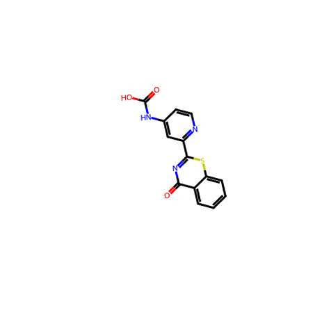 O=C(O)Nc1ccnc(-c2nc(=O)c3ccccc3s2)c1